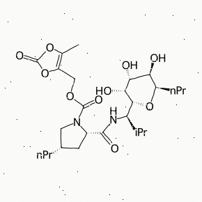 CCC[C@H]1C[C@@H](C(=O)N[C@H](C(C)C)[C@H]2O[C@H](CCC)[C@H](O)[C@@H](O)[C@H]2O)N(C(=O)OCc2oc(=O)oc2C)C1